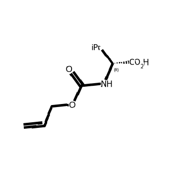 C=CCOC(=O)N[C@@H](C(=O)O)C(C)C